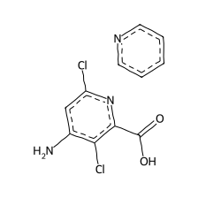 Nc1cc(Cl)nc(C(=O)O)c1Cl.c1ccncc1